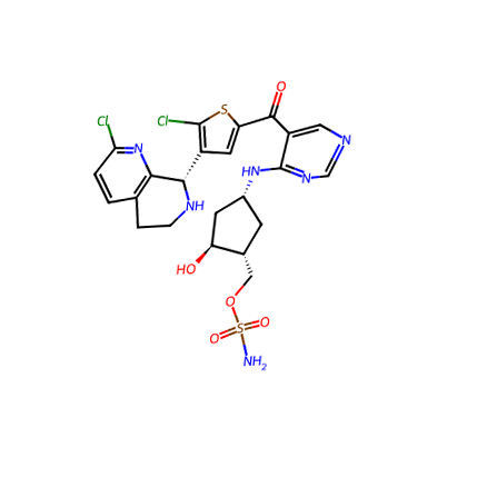 NS(=O)(=O)OC[C@H]1C[C@@H](Nc2ncncc2C(=O)c2cc([C@@H]3NCCc4ccc(Cl)nc43)c(Cl)s2)C[C@@H]1O